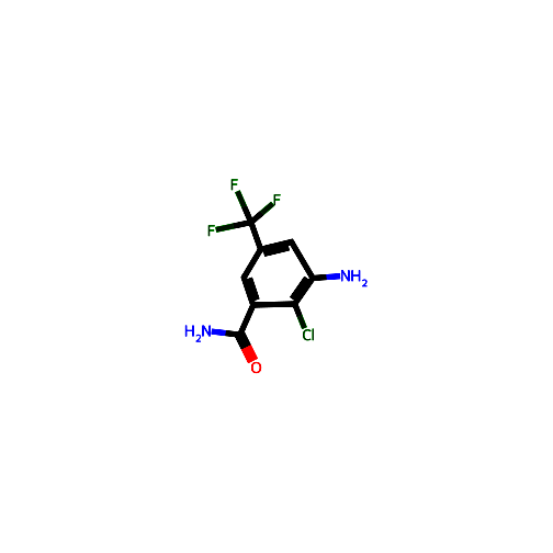 NC(=O)c1cc(C(F)(F)F)cc(N)c1Cl